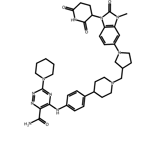 Cn1c(=O)n(C2CCC(=O)NC2=O)c2ccc(N3CCC(CN4CCC(c5ccc(Nc6nc(N7CCCCC7)nnc6C(N)=O)cc5)CC4)C3)cc21